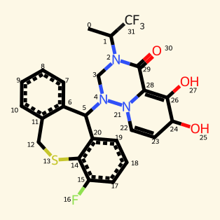 CC(N1CN(C2c3ccccc3CSc3c(F)cccc32)N2C=CC(O)C(O)=C2C1=O)C(F)(F)F